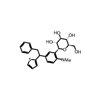 CNc1ccc(C(Cc2ccccc2)c2cccs2)cc1[C@@H]1O[C@H](CO)[C@@H](O)[C@H](O)[C@H]1O